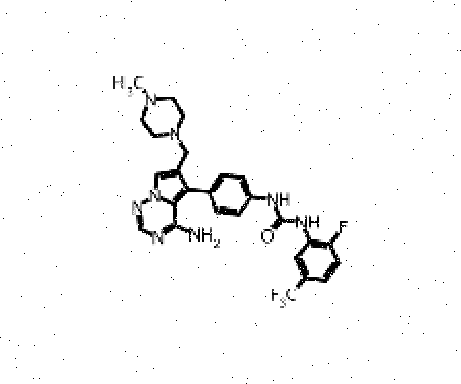 CN1CCN(Cc2cn3ncnc(N)c3c2-c2ccc(NC(=O)Nc3cc(C(F)(F)F)ccc3F)cc2)CC1